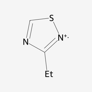 CCC1=[N+]SC=N1